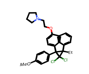 CCC1(c2ccccc2)C(Cl)(Cl)C1(c1ccc(OC)cc1)c1ccc(OCCN2CCCC2)cc1